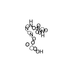 O=C1CCC(N2C(=O)c3ccc(N[C@H]4CCCN(CC5CCN(CCOc6ccc([C@@H]7c8ccc(O)cc8CC[C@@H]7c7ccccc7)cc6)CC5)C4)cc3C2=O)C(=O)N1